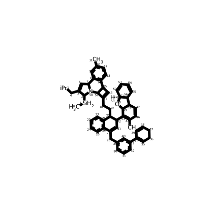 C[SiH2]C1C(CC(C)C)=CC2c3cc(C)ccc3C3C=C(CCC4c5ccccc5C(Cc5cccc(C6=CCCC=C6)c5)=CC4C4=C(C)C=CC5C4O[C@H]4C=CC=CC54)C3N12